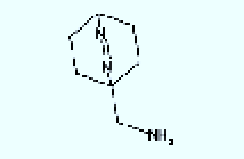 NCC12CCC(CC1)N=N2